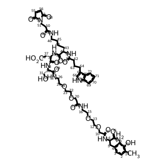 Cc1ccc(CC(NC(=O)COCCOCCNC(=O)COCCOCCNC(=O)[C@H](CO)NC(=O)[C@H](CC(=O)O)NC(=O)[C@@H](CCCCNC(=O)CCN2C(=O)C=CC2=O)NC(=O)CCCc2c[nH]c3ccccc23)C(N)=O)cc1O